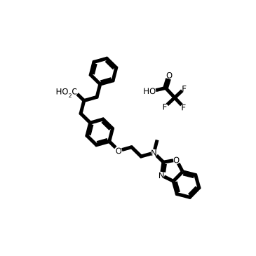 CN(CCOc1ccc(CC(Cc2ccccc2)C(=O)O)cc1)c1nc2ccccc2o1.O=C(O)C(F)(F)F